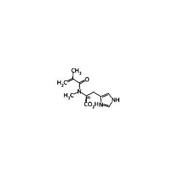 C=C(C)C(=O)N(C)[C@@H](Cc1c[nH]cn1)C(=O)O